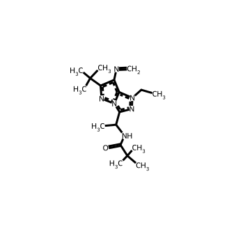 C=Nc1c(C(C)(C)C)nn2c(C(C)NC(=O)C(C)(C)C)nn(CC)c12